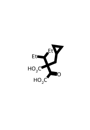 CCC(CC)C(CC1CC1)(C(=O)O)C(=O)C(=O)O